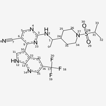 CC(Nc1ncc(C#N)c(-c2c[nH]c3ncc(C(F)(F)F)cc23)n1)C1CCN(S(=O)(=O)C(C)C)CC1